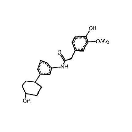 COc1cc(CC(=O)Nc2cccc(C3CCC(O)CC3)c2)ccc1O